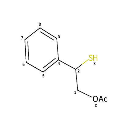 CC(=O)OCC(S)c1ccccc1